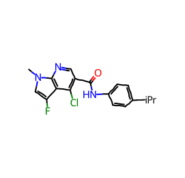 CC(C)c1ccc(NC(=O)c2cnc3c(c(F)cn3C)c2Cl)cc1